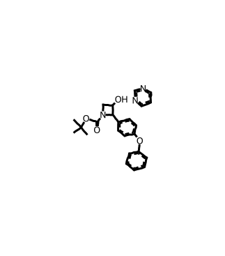 CC(C)(C)OC(=O)N1CC(O)C1c1ccc(Oc2ccccc2)cc1.c1cncnc1